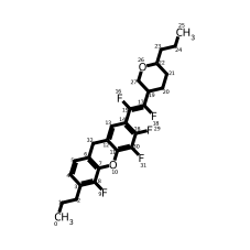 CCCc1ccc2c(c1F)Oc1c(cc(/C(F)=C(\F)C3CCC(CCC)OC3)c(F)c1F)C2